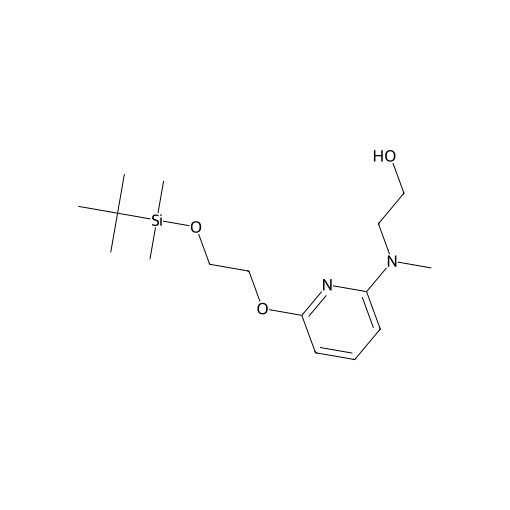 CN(CCO)c1cccc(OCCO[Si](C)(C)C(C)(C)C)n1